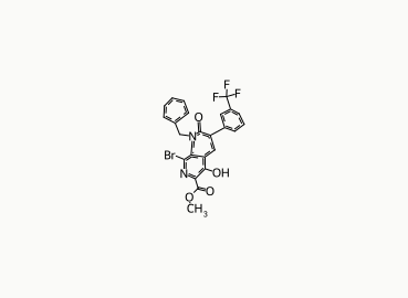 COC(=O)c1nc(Br)c2c(cc(-c3cccc(C(F)(F)F)c3)c(=O)n2Cc2ccccc2)c1O